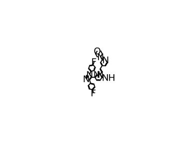 N=c1ccc(-c2c(-c3ccc(F)cc3)ncn2-c2ccc(F)cc2)nn1/C=C/c1ccnc(N2CCOCC2)c1